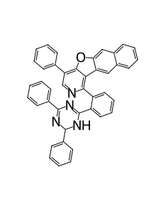 c1ccc(C2=NC(c3ccccc3)NC(c3ccccc3-c3ncc(-c4ccccc4)c4oc5cc6ccccc6cc5c34)=N2)cc1